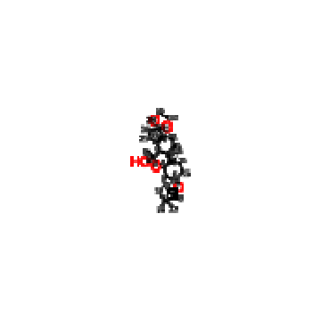 CC1(O)OC2C[C@@H](O[Si](C)(C)C(C)(C)C)CC[C@]2(C)C2CC[C@@]3(C)C(CCC34OCCO4)C21